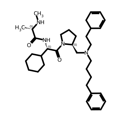 CN[C@@H](C)C(=O)N[C@H](C(=O)N1CCC[C@H]1CN(CCCCc1ccccc1)CCC1C=CC=CC1)C1CCCCC1